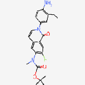 CCc1cc(-n2ccc3cc(N(C)C(=O)OC(C)(C)C)c(F)cc3c2=O)ccc1N